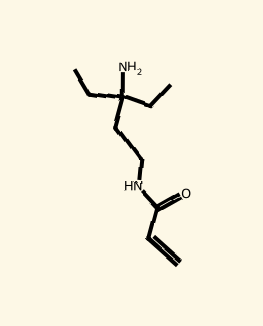 C=CC(=O)NCCC(N)(CC)CC